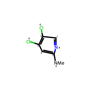 CNc1cc(Cl)c(Cl)cn1